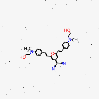 CN(CCO)c1ccc(C=CC2=CC(=C(C#N)C#N)C=C(C=Cc3ccc(N(C)CCO)cc3)O2)cc1